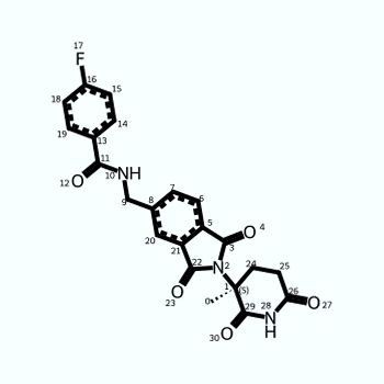 C[C@]1(N2C(=O)c3ccc(CNC(=O)c4ccc(F)cc4)cc3C2=O)CCC(=O)NC1=O